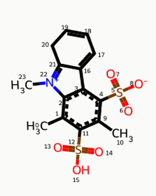 Cc1c2c(c(S(=O)(=O)[O-])c(C)c1S(=O)(=O)O)C1=CC=CCC1=[N+]2C